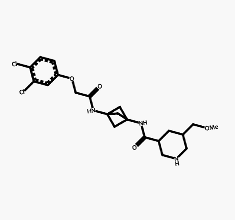 COCC1CNCC(C(=O)NC23CC(NC(=O)COc4ccc(Cl)c(Cl)c4)(C2)C3)C1